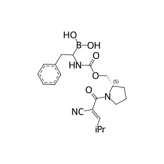 CC(C)C=C(C#N)C(=O)N1CCC[C@H]1COC(=O)NC(Cc1ccccc1)B(O)O